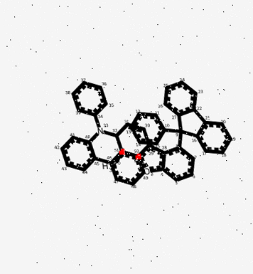 CC1c2oc3cccc(C4(c5ccccc5)c5ccccc5-c5ccccc54)c3c2C=CC1N(c1ccccc1)c1ccccc1-c1ccccc1